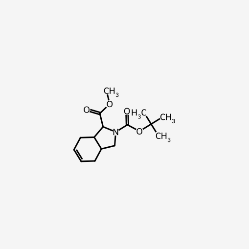 COC(=O)C1C2CC=CCC2CN1C(=O)OC(C)(C)C